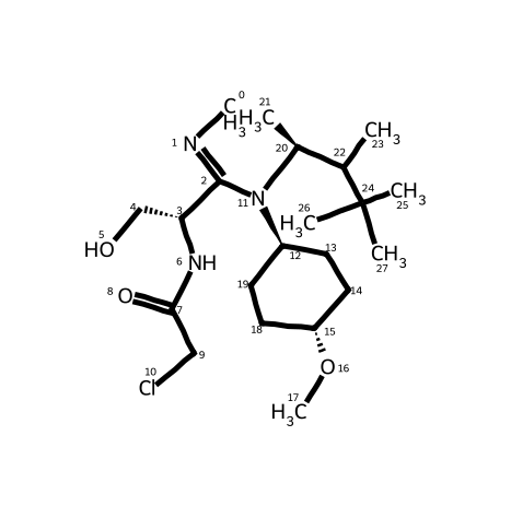 C/N=C(/[C@@H](CO)NC(=O)CCl)N([C@H]1CC[C@H](OC)CC1)[C@@H](C)C(C)C(C)(C)C